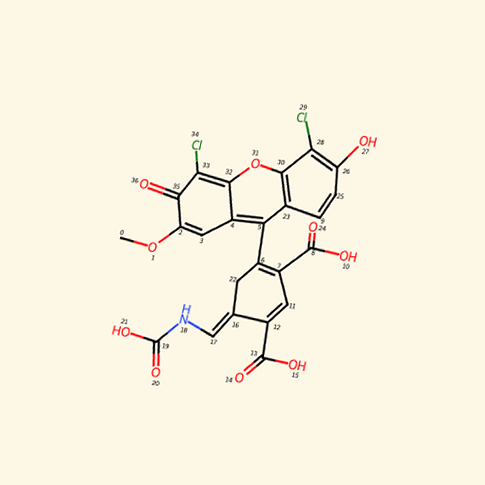 COc1cc2c(C3=C(C(=O)O)C=C(C(=O)O)C(=CNC(=O)O)C3)c3ccc(O)c(Cl)c3oc-2c(Cl)c1=O